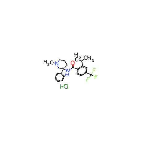 CC(C)c1cc(C(F)(F)F)ccc1C(=O)NC1(c2ccccc2)CCCN(C)C1.Cl